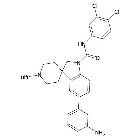 CCCN1CCC2(CC1)CN(C(=O)Nc1ccc(Cl)c(Cl)c1)c1ccc(-c3cccc(N)c3)cc12